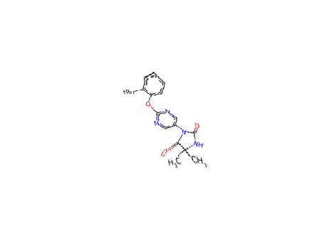 CC1(C)NC(=O)N(c2cnc(Oc3ccccc3C(C)(C)C)nc2)C1=O